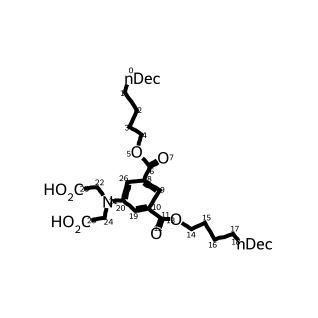 CCCCCCCCCCCCCCOC(=O)c1cc(C(=O)OCCCCCCCCCCCCCC)cc(N(CC(=O)O)CC(=O)O)c1